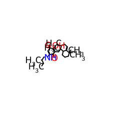 CCC(C)CNC1=CC(=O)C(O)=C(CC2(C)C(C)CC=C3C2CCCC3(C)C)C1=O